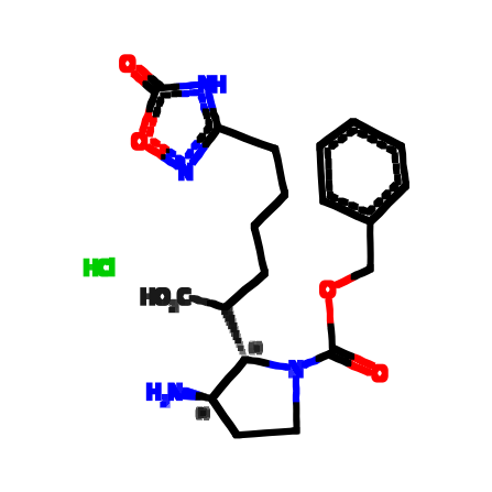 Cl.N[C@@H]1CCN(C(=O)OCc2ccccc2)[C@H]1C(CCCCc1noc(=O)[nH]1)C(=O)O